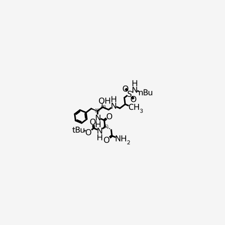 CCCCNS(=O)(=O)CC(C)CNC[C@@H](O)[C@H](Cc1ccccc1)NC(=O)[C@H](CC(N)=O)NC(=O)OC(C)(C)C